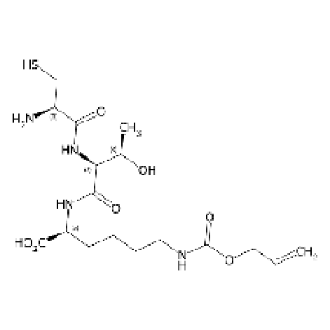 C=CCOC(=O)NCCCC[C@H](NC(=O)[C@@H](NC(=O)[C@@H](N)CS)[C@@H](C)O)C(=O)O